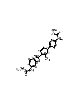 CN(C(=O)OC(C)(C)C)c1ccc(-c2ccc(-c3nc4ccc(NC(=O)OC(C)(C)C)cc4s3)c(C(F)(F)F)c2)cn1